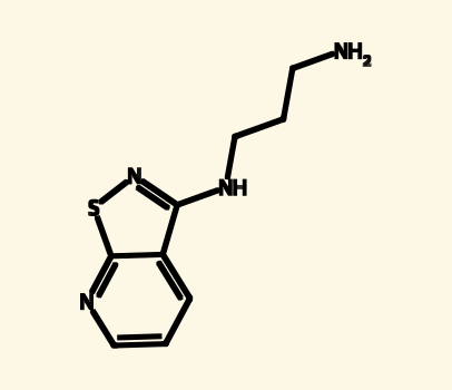 NCCCNc1nsc2ncccc12